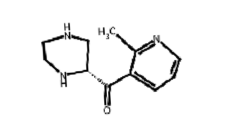 Cc1ncccc1C(=O)[C@H]1CNCCN1